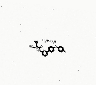 NC(=O)O.O=C(Nc1cccc(-c2ccc(Oc3ccc(F)cc3)cc2)n1)[C@H](CO)C1CC1